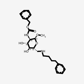 CO[C@H]1O[C@H](CNCCCCc2ccccc2)[C@@H](O)[C@H](O)[C@H]1NC(=O)OCc1ccccc1